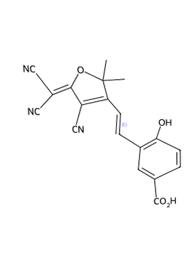 CC1(C)OC(=C(C#N)C#N)C(C#N)=C1/C=C/c1cc(C(=O)O)ccc1O